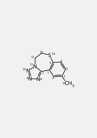 Cc1ccc2c(c1)-c1nnnn1CCS2